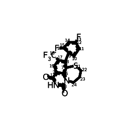 O=c1[nH]c(=O)n2c3c(c(-c4ccc(F)cc4F)c(C(F)(F)F)cc13)SCCC2